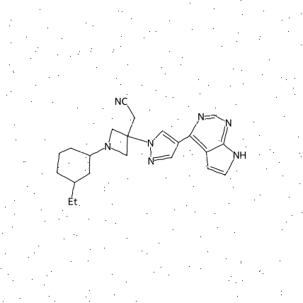 CCC1CCCC(N2CC(CC#N)(n3cc(-c4ncnc5[nH]ccc45)cn3)C2)C1